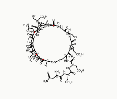 CC(C)C[C@H](NC(=O)[C@@H]1CSSC[C@@H]2NC(=O)[C@H](CC(C)C)NC(=O)[C@H](CCC(=O)O)NC(=O)[C@@H](NC(=O)[C@H](CC(=O)O)NC(=O)[C@H](CC(=O)O)NC(=O)[C@@H](N)CC(N)=O)CSSC[C@H](NC(=O)[C@H](C)NC(=O)[C@H](C(C)C)NC(=O)[C@H](CC(N)=O)NC(=O)[C@H](C(C)C)NC2=O)C(=O)N[C@@H]([C@@H](C)O)C(=O)NCC(=O)N1)C(=O)O